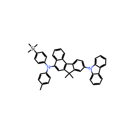 Cc1ccc(N(c2ccc([Si](C)(C)C)cc2)c2cc3c(c4ccccc24)-c2ccc(-n4c5ccccc5c5ccccc54)cc2C3(C)C)cc1